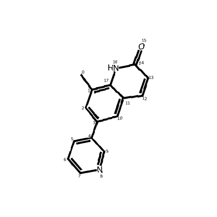 Cc1cc(-c2cccnc2)cc2ccc(=O)[nH]c12